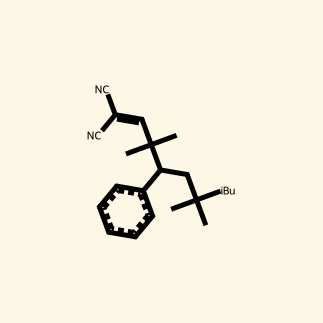 CCC(C)C(C)(C)CC(c1ccccc1)C(C)(C)C=C(C#N)C#N